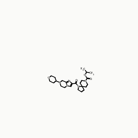 O=C(OC(C(F)(F)F)C(F)(F)F)N1CCC2(CCCN2C(=O)c2cn3c(n2)CN(C2CCOCC2)CC3)CC1